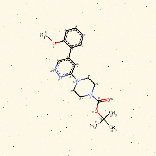 COc1ccccc1-c1cnnc(N2CCN(C(=O)OC(C)(C)C)CC2)c1